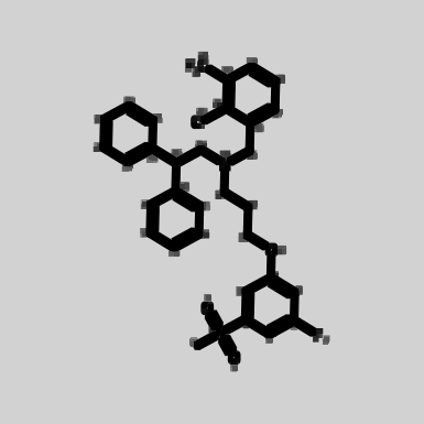 CS(=O)(=O)c1[c]c(F)cc(OCCCN(Cc2cccc(C(F)(F)F)c2Cl)CC(c2ccccc2)c2ccccc2)c1